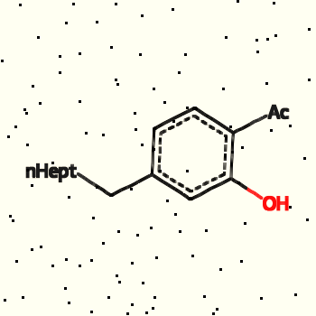 CCCCCCCCc1ccc(C(C)=O)c(O)c1